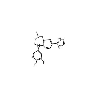 CN1CCN(c2ccc(F)c(F)c2)c2ccc(-c3ncco3)cc2C1